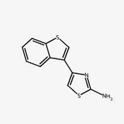 Nc1nc(-c2csc3ccccc23)cs1